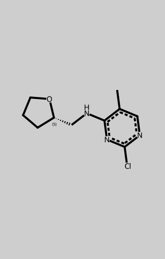 Cc1cnc(Cl)nc1NC[C@@H]1CCCO1